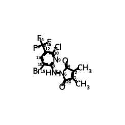 CC1=C(C)C(=O)N(Nc2nc(Cl)c(C(F)(F)F)cc2Br)C1=O